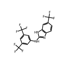 FC(F)(F)c1cc(Nc2nc3ccc(C(F)(F)F)cc3[nH]2)cc(C(F)(F)F)c1